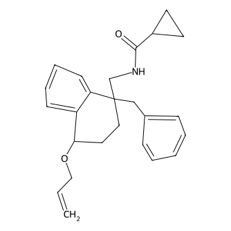 C=CCOC1CCC(CNC(=O)C2CC2)(Cc2ccccc2)c2ccccc21